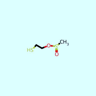 CS(=O)OCCS